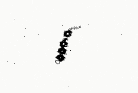 CCCCCC[C@H]1CC[C@H](CCC2CCC(c3ccc(-c4ccc(Cl)cc4)cc3)CC2)CC1